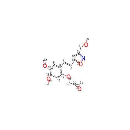 COCc1cc(/C=C/c2cc(OC)c(OC)cc2OCC2CO2)on1